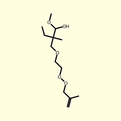 C=C(C)COOCCOCC(C)(CC)C(O)OC